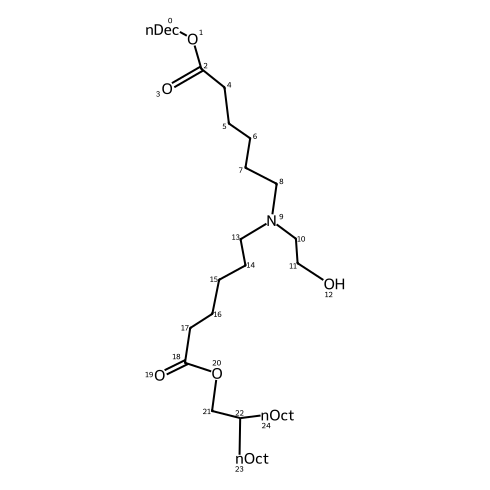 CCCCCCCCCCOC(=O)CCCCCN(CCO)CCCCCC(=O)OCC(CCCCCCCC)CCCCCCCC